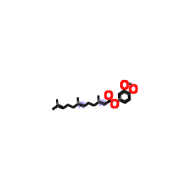 CC(C)=CCC/C(C)=C/CC/C(C)=C/C(=O)Oc1ccc2c(c1)OCO2